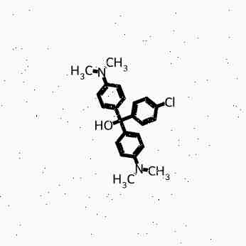 CN(C)c1ccc(C(O)(c2ccc(Cl)cc2)c2ccc(N(C)C)cc2)cc1